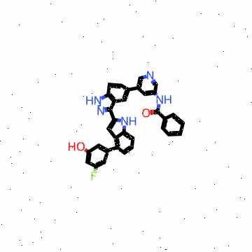 O=C(Nc1cncc(-c2ccc3[nH]nc(-c4cc5c(-c6cc(O)cc(F)c6)cccc5[nH]4)c3c2)c1)c1ccccc1